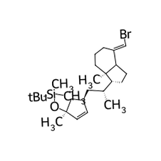 C[C@H](C[C@H]1C=C[C@@](C)(O[Si](C)(C)C(C)(C)C)C1)[C@H]1CCC2/C(=C/Br)CCC[C@@]21C